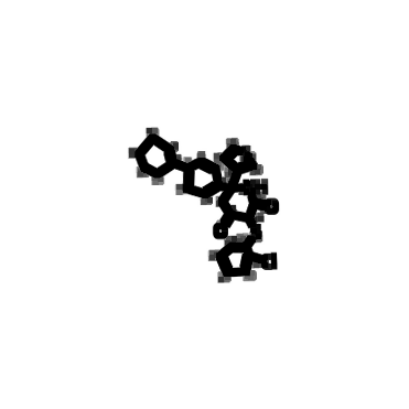 O=C1CC(c2ccc(C3=CCCCC3)cc2)(c2ccsc2)NC(=O)C1Sc1ccccc1Cl